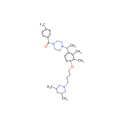 Cc1c(OCCCCN2CC(C)CC(C)C2)ccc(C(C)N2CCN(C(=O)c3ccc(C(F)(F)F)cc3)CC2)c1C